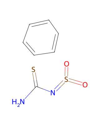 NC(=S)N=S(=O)=O.c1ccccc1